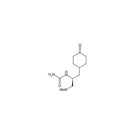 CNC[C@H](CC1CCC(=O)CC1)NC(N)=O